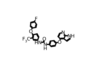 O=C(Nc1ccc(Oc2ccnc3[nH]ccc23)cc1)Nc1ccc(Oc2ccc(F)cc2)c(C(F)(F)F)c1